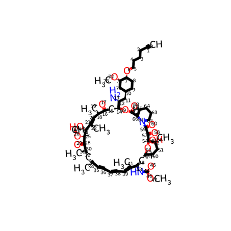 C#CCCCCO[C@@H]1CC[C@@H](C[C@@H](N)[C@@H]2CC(=O)[C@H](C)/C=C(\C)[C@@H](O)[C@@H](OC)C(=O)[C@H](C)C[C@H](C)/C=C/C=C/C=C(\C)C(NC(=O)OC)C[C@@H]3CC[C@@H](C)[C@@](O)(O3)C(=O)C(=O)N3CCCC[C@H]3C(=O)O2)C[C@H]1OC